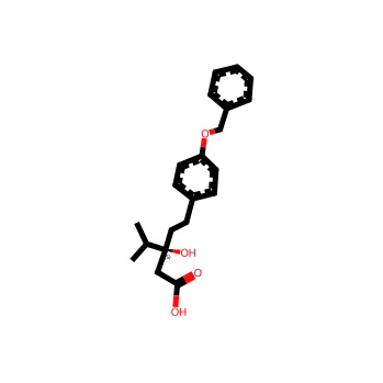 CC(C)[C@](O)(CCc1ccc(OCc2ccccc2)cc1)CC(=O)O